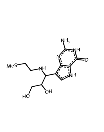 CSCCNC(c1c[nH]c2c(=O)[nH]c(N)nc12)C(O)CO